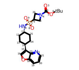 CC(C)(C)OC(=O)N1CC(S(=O)(=O)N[C@H]2CC[C@H](c3coc4cccnc43)CC2)C1